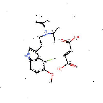 COc1ccc2[nH]cc(CCN(C(C)C)C(C)C)c2c1F.O=C(O)/C=C/C(=O)O